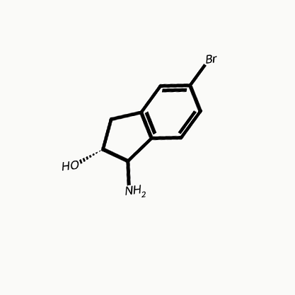 NC1c2ccc(Br)cc2C[C@H]1O